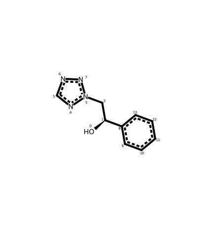 O[C@@H](Cn1ncnn1)c1ccccc1